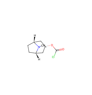 CN1[C@@H]2CC[C@H]1C[C@@H](OC(=O)Cl)C2